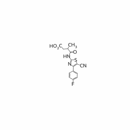 CC(CC(=O)O)C(=O)Nc1nc(-c2ccc(F)cc2)c(C#N)s1